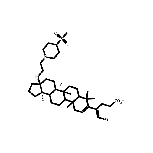 CC/C=C(\CCC(=O)O)C1=CCC2(C)C(CCC3(C)C2CCC2[C@H]4CCCC4(NCCN4CCC(S(C)(=O)=O)CC4)CC[C@]23C)C1(C)C